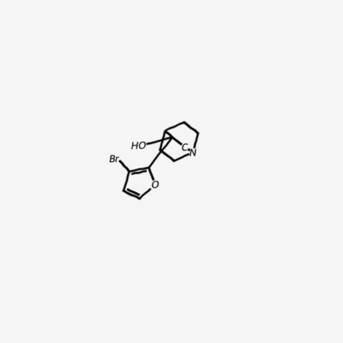 OC1(c2occc2Br)CN2CCC1CC2